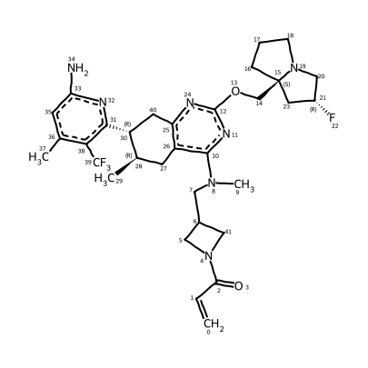 C=CC(=O)N1CC(CN(C)c2nc(OC[C@@]34CCCN3C[C@H](F)C4)nc3c2C[C@@H](C)[C@H](c2nc(N)cc(C)c2C(F)(F)F)C3)C1